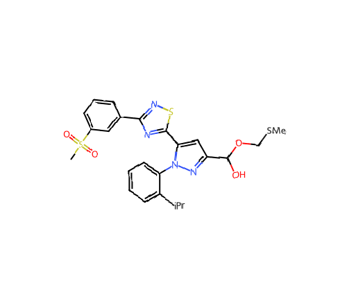 CSCOC(O)c1cc(-c2nc(-c3cccc(S(C)(=O)=O)c3)ns2)n(-c2ccccc2C(C)C)n1